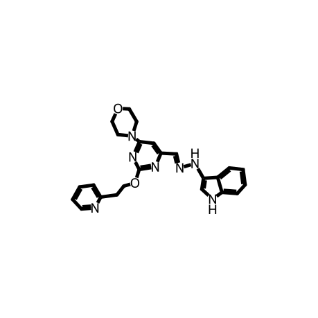 C(=NNc1c[nH]c2ccccc12)c1cc(N2CCOCC2)nc(OCCc2ccccn2)n1